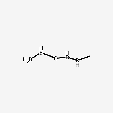 BBOBBC